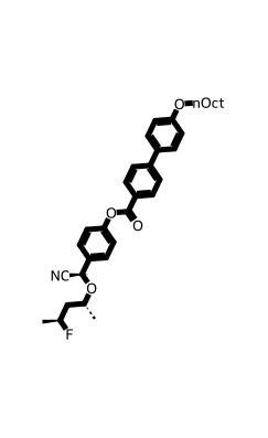 CCCCCCCCOc1ccc(-c2ccc(C(=O)Oc3ccc([C@H](C#N)O[C@H](C)C[C@H](C)F)cc3)cc2)cc1